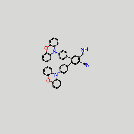 N#Cc1cc(-c2ccc(N3c4ccccc4Oc4ccccc43)cc2)c(-c2ccc(N3c4ccccc4Oc4ccccc43)cc2)cc1C=N